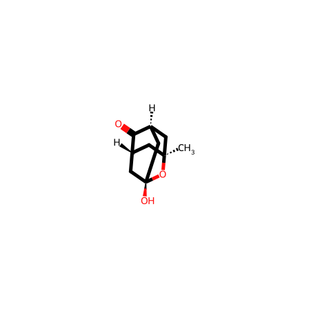 C[C@]12C[C@@H]3C[C@](O)(C[C@H](C1)C3=O)O2